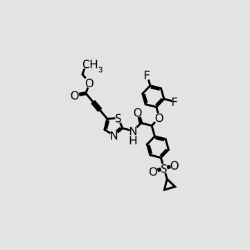 CCOC(=O)C#Cc1cnc(NC(=O)C(Oc2ccc(F)cc2F)c2ccc(S(=O)(=O)C3CC3)cc2)s1